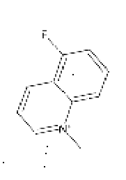 C[n+]1cccc2c(F)cccc21